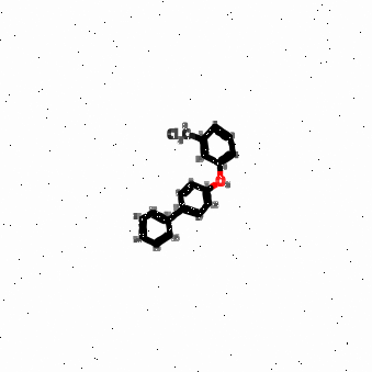 ClC(Cl)(Cl)c1cccc(Oc2ccc(-c3ccccc3)cc2)c1